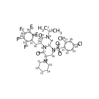 CC(C)N1CC2N(C(=O)C(N3CCCCC3)CN2S(=O)(=O)c2ccc(Cl)cc2Cl)C(Cc2c(F)c(F)c(F)c(F)c2F)C1=O